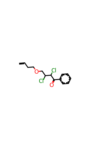 C=CCCOCC(Cl)C(Cl)C(=O)c1ccccc1